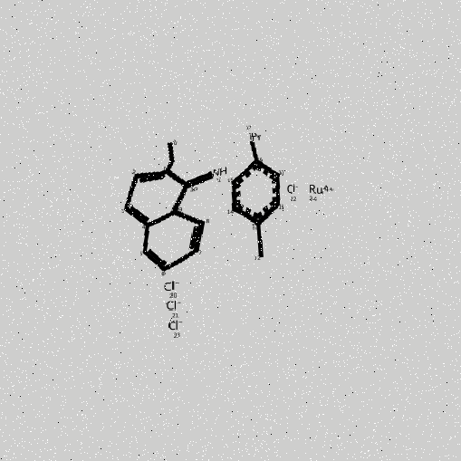 CC1=CC=C2C=CC=CC2C1=N.Cc1ccc(C(C)C)cc1.[Cl-].[Cl-].[Cl-].[Cl-].[Ru+4]